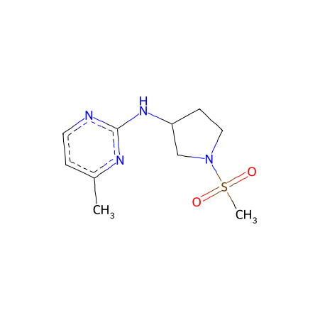 Cc1ccnc(NC2CCN(S(C)(=O)=O)C2)n1